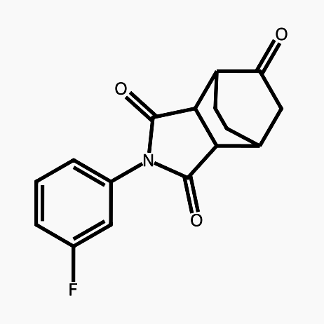 O=C1CC2CCC1C1C(=O)N(c3cccc(F)c3)C(=O)C21